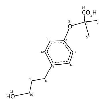 CC(C)(Oc1ccc(CCCO)cc1)C(=O)O